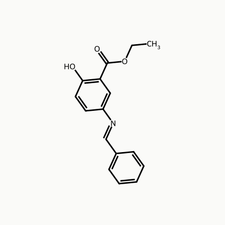 CCOC(=O)c1cc(/N=C/c2ccccc2)ccc1O